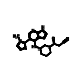 Cn1ccnc1-c1cnc2[nH]ccc2c1N[C@@H]1CCCN(C(=O)CC#N)C1